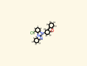 Clc1cccc2c1n1c3ccccc3nc1n2-c1ccc2oc3ccccc3c2c1